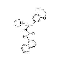 O=C(Nc1cccc2ccccc12)NC(Cc1ccc2c(c1)OCCO2)CN1CCCC1